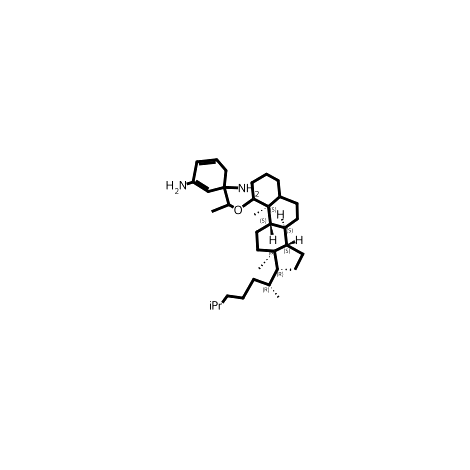 CC(C)CCC[C@@H](C)[C@H]1CC[C@H]2[C@@H]3CCC4CCCC(OC(C)C5(N)C=C(N)C=CC5)[C@]4(C)[C@H]3CC[C@]12C